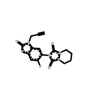 C#CCn1c(=O)sc2cc(F)c(-n3c(=O)n4n(c3=O)CCCC4)cc21